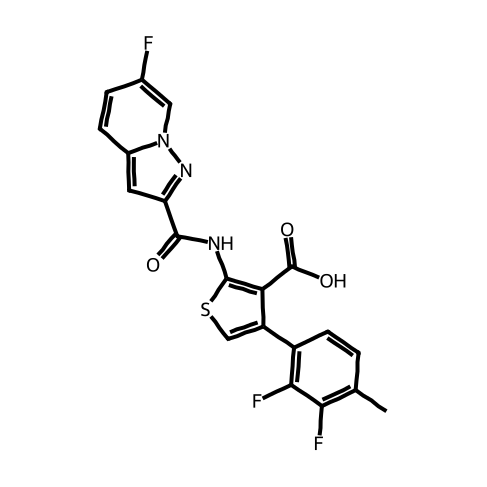 Cc1ccc(-c2csc(NC(=O)c3cc4ccc(F)cn4n3)c2C(=O)O)c(F)c1F